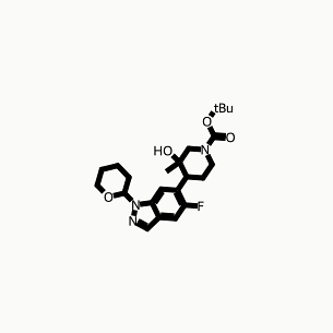 CC(C)(C)OC(=O)N1CCC(c2cc3c(cnn3C3CCCCO3)cc2F)C(C)(O)C1